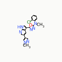 CN(c1nnc(-c2c[nH]c3ncc(-c4cnn(C)c4)cc23)o1)c1ccccc1Cl